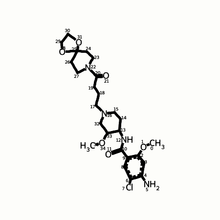 COc1cc(N)c(Cl)cc1C(=O)NC1CCN(CCCC(=O)N2CCC3(CC2)OCCO3)CC1OC